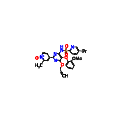 C#CCOc1nc(-c2cc[n+]([O-])c(C)c2)nc(NS(=O)(=O)c2ccc(C(C)C)cn2)c1Oc1ccccc1OC